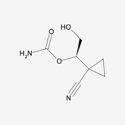 N#CC1([C@H](CO)OC(N)=O)CC1